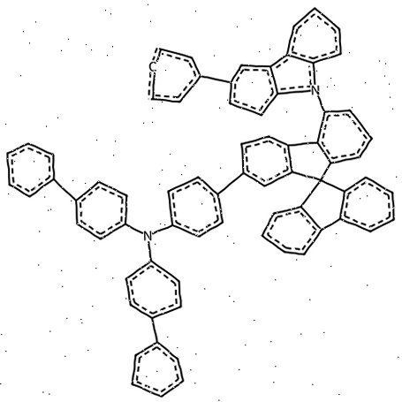 c1ccc(-c2ccc(N(c3ccc(-c4ccccc4)cc3)c3ccc(-c4ccc5c(c4)C4(c6ccccc6-c6ccccc64)c4cccc(-n6c7ccccc7c7cc(-c8ccccc8)ccc76)c4-5)cc3)cc2)cc1